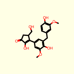 COc1cc(Cc2cc(C3=C(O)C(=O)CC3CO)cc(OC)c2O)ccc1O